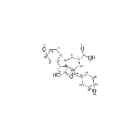 O=C(O)C1CCC(CC2CCC3OC3C2)(C(=O)O)C(CC2CCC3OC3C2)C1